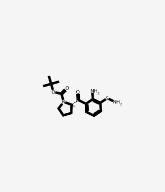 CC(C)(C)OC(=O)N1CCC[C@H]1C(=O)c1cccc(SN)c1N